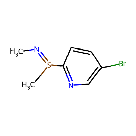 C/N=S(\C)c1ccc(Br)cn1